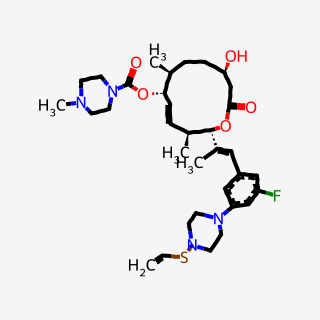 C=CSN1CCN(c2cc(F)cc(/C=C(\C)[C@H]3OC(=O)C[C@H](O)CC[C@H](C)[C@@H](OC(=O)N4CCN(C)CC4)/C=C/[C@@H]3C)c2)CC1